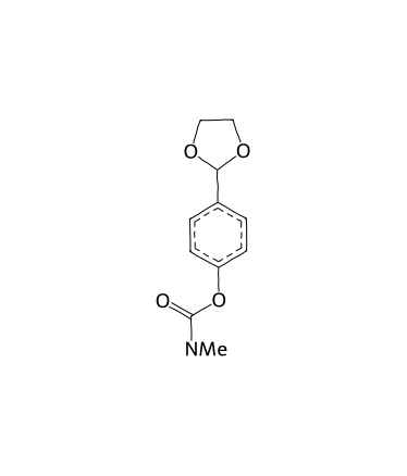 CNC(=O)Oc1ccc(C2OCCO2)cc1